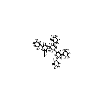 CC1(c2cc(-c3cc(-c4ccccc4)nc(-c4ccccc4)c3)cc(-c3ccccn3)c2)C=CC(c2ccccc2)=CN1